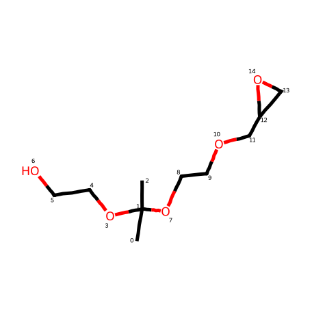 CC(C)(OCCO)OCCOCC1CO1